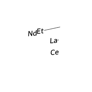 CCC.[Ce].[La].[Nd]